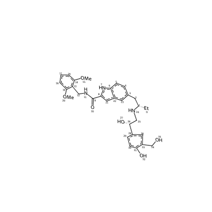 CC[C@@H](Cc1ccc2[nH]c(C(=O)NCc3c(OC)cccc3OC)cc2c1)NC[C@@H](O)c1ccc(O)c(CO)c1